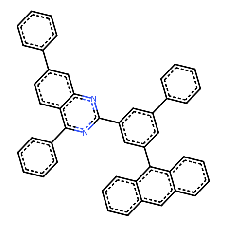 c1ccc(-c2cc(-c3nc(-c4ccccc4)c4ccc(-c5ccccc5)cc4n3)cc(-c3c4ccccc4cc4ccccc34)c2)cc1